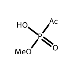 COP(=O)(O)C(C)=O